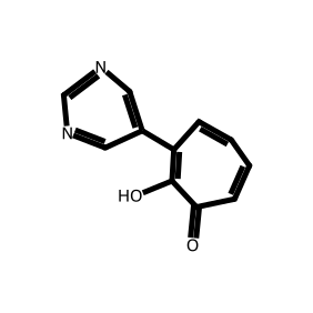 O=c1ccccc(-c2cncnc2)c1O